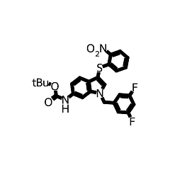 CC(C)(C)OC(=O)Nc1ccc2c(Sc3ccccc3[N+](=O)[O-])cn(Cc3cc(F)cc(F)c3)c2c1